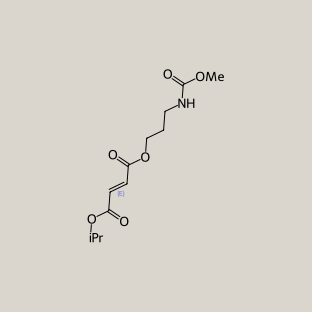 COC(=O)NCCCOC(=O)/C=C/C(=O)OC(C)C